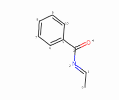 CC=NC(=O)c1ccccc1